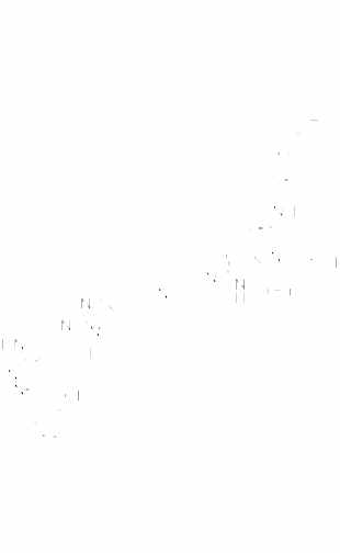 C#Cc1ccc(CNC(=O)[C@@H]2C[C@@H](O)CN2C(=O)[C@@H](NC(=O)N2CCC(N3CCC(c4cnc(N5CCc6[nH]c7nnc(-c8ccccc8O)cc7c6[C@H]5C)nc4)CC3)CC2)C(C)(C)C)c(O)c1